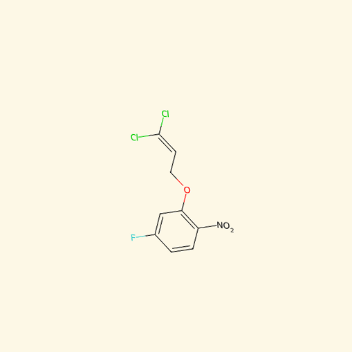 O=[N+]([O-])c1ccc(F)cc1OCC=C(Cl)Cl